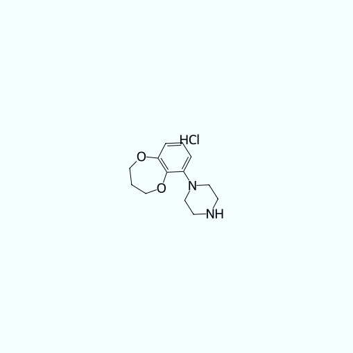 Cl.c1cc2c(c(N3CCNCC3)c1)OCCCO2